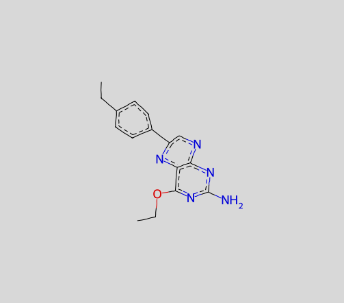 CCOc1nc(N)nc2ncc(-c3ccc(CC)cc3)nc12